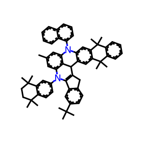 Cc1cc2c3c(c1)N(c1cccc4ccccc14)c1cc4c(cc1C3C1=C(c3cc(C(C)(C)C)ccc3C1)N2c1ccc2c(c1)C(C)(C)CCC2(C)C)C(C)(C)c1ccccc1C4(C)C